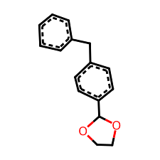 c1ccc(Cc2ccc(C3OCCO3)cc2)cc1